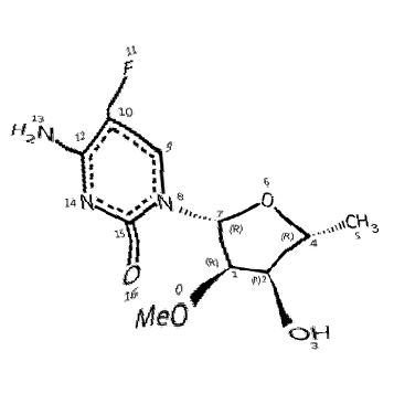 CO[C@@H]1[C@H](O)[C@@H](C)O[C@H]1n1cc(F)c(N)nc1=O